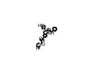 O=CC(Cc1cc(-c2nc(C(=O)N3CCCC(F)(F)C3)co2)ccc1CNC(=O)Cc1ccccc1)N1CCNCC1